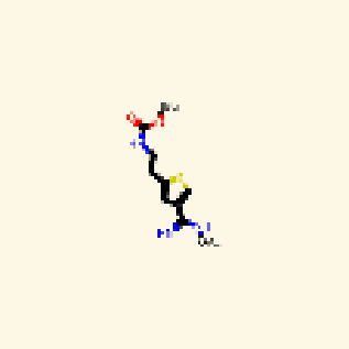 CC(=O)ONC(=N)c1csc(CCNC(=O)OC(C)(C)C)c1